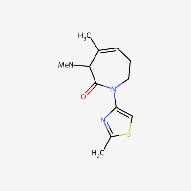 CNC1C(=O)N(c2csc(C)n2)CCC=C1C